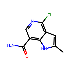 Cc1cc2c(Cl)ncc(C(N)=O)c2[nH]1